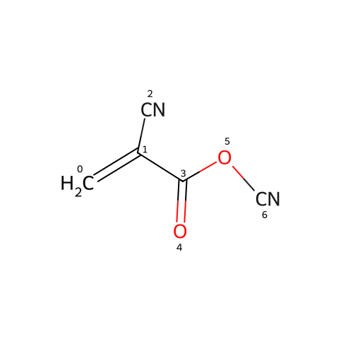 C=C(C#N)C(=O)OC#N